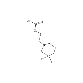 CC(C)C(=O)OCCN1CCCC(F)(F)C1